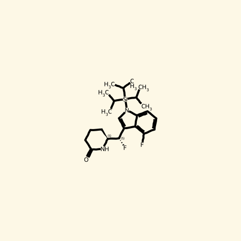 CC(C)[Si](C(C)C)(C(C)C)n1cc([C@H](F)[C@@H]2CCCC(=O)N2)c2c(F)cccc21